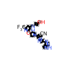 N#CCC1(n2cc(-c3ncnc4[nH]ccc34)cn2)CC(N2CCC(Oc3cc(CNC4CC(O)C4)cc(C(F)(F)F)n3)CC2)C1